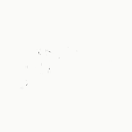 CC(C=O)CCC[C@@H](C)[C@H]1CC[C@H]2[C@@H]3[C@H](O)C[C@@H]4C[C@H](O)CC[C@]4(C)[C@H]3CC[C@]12C